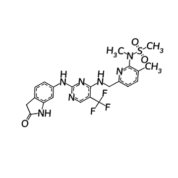 Cc1ccc(CNc2nc(Nc3ccc4c(c3)NC(=O)C4)ncc2C(F)(F)F)nc1N(C)S(C)(=O)=O